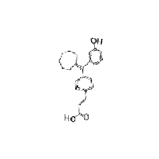 O=C(O)C=Cc1ccc(C(=C2CCCCCC2)c2cccc(O)c2)cc1